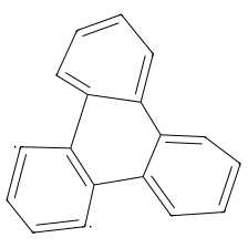 [c]1cc[c]c2c1c1ccccc1c1ccccc21